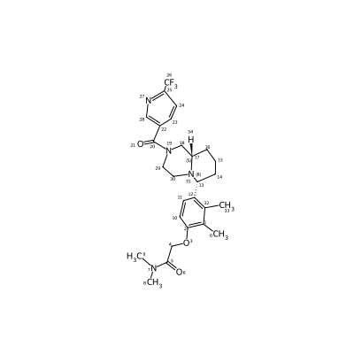 Cc1c(OCC(=O)N(C)C)ccc([C@H]2CCC[C@H]3CN(C(=O)c4ccc(C(F)(F)F)nc4)CCN32)c1C